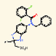 CCCC1(CC(=O)O)Nc2ccc(N(Cc3ccccc3)C(=O)c3c(F)cccc3F)cc2N1